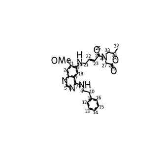 COc1cc2ncnc(NCCc3ccccc3)c2cc1NCC=CC(=O)N1CC(=O)O[C@H](C)C1